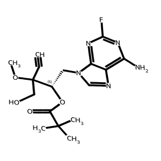 C#CC(CO)(OC)[C@H](Cn1cnc2c(N)nc(F)nc21)OC(=O)C(C)(C)C